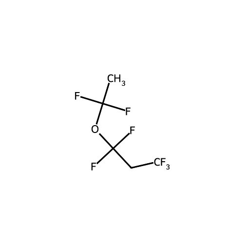 CC(F)(F)OC(F)(F)CC(F)(F)F